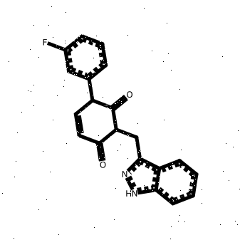 O=C1C=CC(c2cccc(F)c2)C(=O)C1Cc1n[nH]c2ccccc12